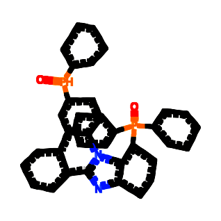 O=[PH](c1ccccc1)c1ccc2c(c1)c1ccccc1c1nc3cccc(P(=O)(c4ccccc4)c4ccccc4)c3n21